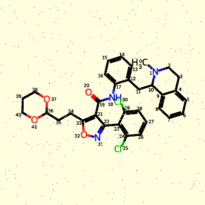 CN1CCc2ccccc2C1Cc1ccccc1NC(=O)c1c(-c2c(Cl)cccc2Cl)noc1CCC1OCCCO1